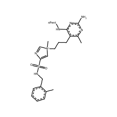 CCCCCNc1nc(N)nc(C)c1CCC[N+]1(C)C=NC(S(=O)(=O)NCc2[c]cccc2C)=C1